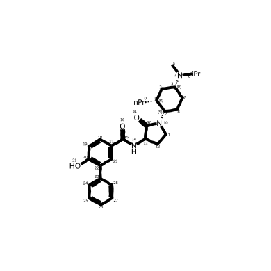 CCC[C@@H]1C[C@H](N(C)C(C)C)CC[C@@H]1N1CCC(NC(=O)c2ccc(O)c(-c3ccccc3)c2)C1=O